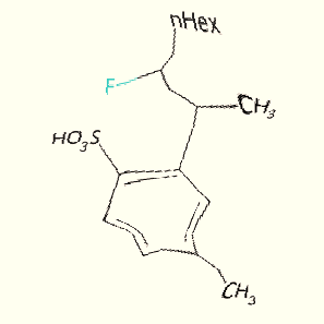 CCCCCCC(F)C(C)c1cc(C)ccc1S(=O)(=O)O